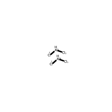 [Cl][AlH][Cl].[Cl][AlH][Cl]